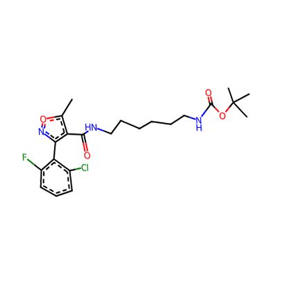 Cc1onc(-c2c(F)cccc2Cl)c1C(=O)NCCCCCCNC(=O)OC(C)(C)C